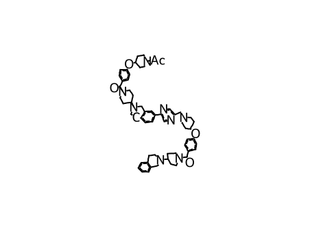 CC(=O)N1CCC(Oc2ccc(C(=O)N3CCC(N4CCc5ccc(-c6cnc(CN7CCC(Oc8ccc(C(=O)N9CCC(N%10CCc%11ccccc%11C%10)CC9)cc8)CC7)cn6)cc5C4)CC3)cc2)CC1